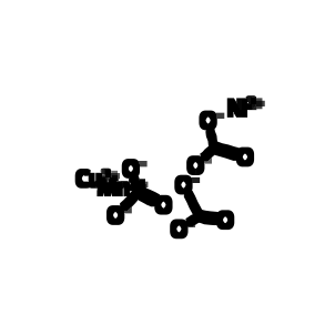 O=C([O-])[O-].O=C([O-])[O-].O=C([O-])[O-].[Cu+2].[Mn+2].[Ni+2]